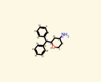 NC1CCOC(C(c2ccccc2)c2ccccc2)C1